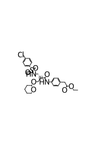 CCOC(=O)Cc1ccc(NC(=O)[C@@H](CNS(=O)(=O)c2ccc(Cl)cc2)COC2CCCCO2)cc1